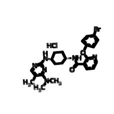 Cc1cnc(N[C@H]2CC[C@@H](NC(=O)c3cccnc3Oc3ccc(Br)cc3)CC2)nc1N(C)C.Cl